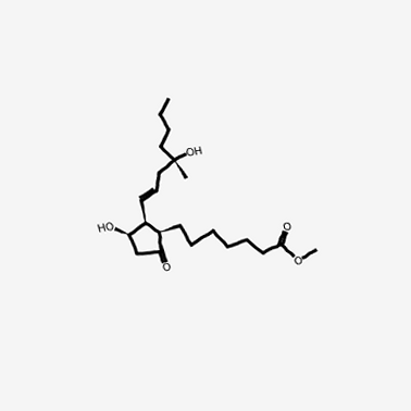 CCCC[C@](C)(O)CC=C[C@@H]1[C@H](O)CC(=O)[C@@H]1CCCCCCC(=O)OC